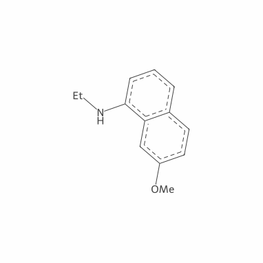 CCNc1cccc2ccc(OC)cc12